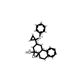 CC12CCc3ccccc3C1CC(C1(Sc3ccccc3)CC1)CC2(O)O